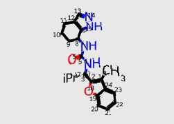 Cc1c([C@@H](NC(=O)NC2CCCc3cn[nH]c32)C(C)C)oc2ccccc12